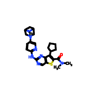 CCN1C2CC1CN(c1ccc(Nc3ncc4sc(C(=O)N(C)C)c(C5CCCC5)c4n3)nc1)C2